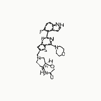 CN1C(=O)CO[C@@H]2CN(Cc3cc4nc(-c5c(F)ccc6[nH]ccc56)nc(N5CCOCC5)c4s3)CC[C@H]21